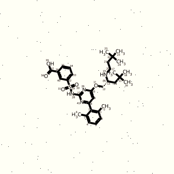 Cc1cccc(C)c1-c1cc(OC[C@@H](CC(C)(C)C)NCCC(C)(C)C)nc(NS(=O)(=O)c2cccc(C(=O)O)c2)n1